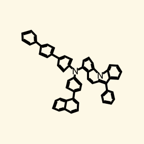 c1ccc(-c2ccc(-c3ccc(N(c4ccc(-c5cccc6ccccc56)cc4)c4cccc5c4ccc4c(-c6ccccc6)c6ccccc6n45)cc3)cc2)cc1